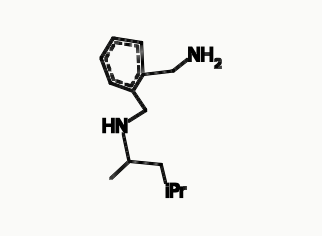 CC(C)CC(C)NCc1ccccc1CN